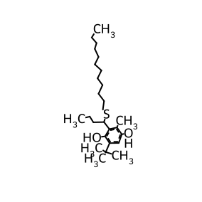 CCCCCCCCCCCCSC(CCC)c1c(C)c(O)cc(C(C)(C)C)c1O